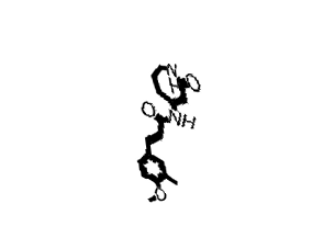 COc1ccc(C=CC(=O)NC2CCCNC(=O)C2)cc1C